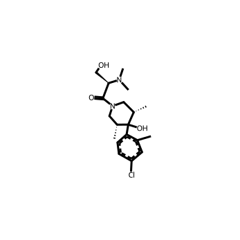 Cc1cc(Cl)ccc1C1(O)[C@H](C)CN(C(=O)[C@@H](CO)N(C)C)C[C@@H]1C